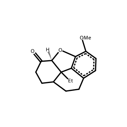 CCC12c3c4ccc(OC)c3O[C@@H]1C(=O)CCC2CC4